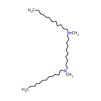 CCCCCCCCCCCCN(C)CCCCCCCCCCN(C)CCCCCCCCCCCC